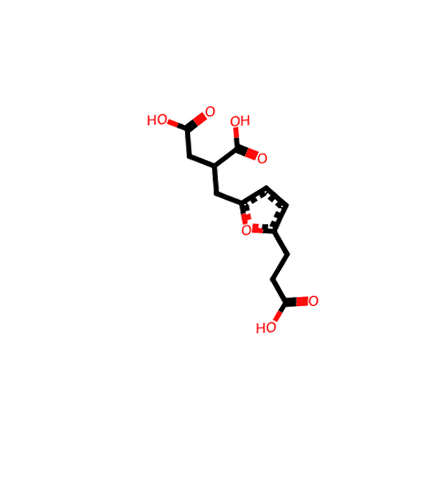 O=C(O)CCc1ccc(CC(CC(=O)O)C(=O)O)o1